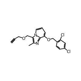 C#CCOCc1c(C)nc2c(OCc3ccc(Cl)cc3Cl)cccn12